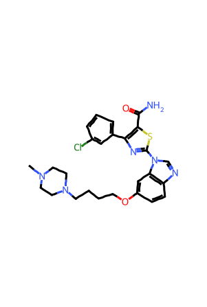 CN1CCN(CCCCOc2ccc3ncn(-c4nc(-c5cccc(Cl)c5)c(C(N)=O)s4)c3c2)CC1